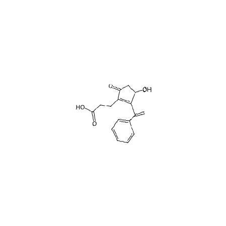 C=C(C1=C(CCC(=O)O)C(=O)CC1O)c1ccccc1